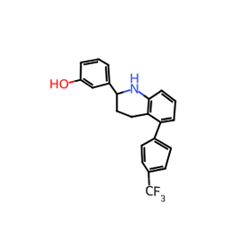 Oc1cccc(C2CCc3c(cccc3-c3ccc(C(F)(F)F)cc3)N2)c1